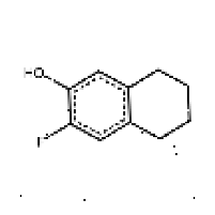 Oc1cc2c(cc1F)CCCC2